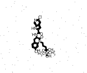 CC(C)(CCCN1C(=O)C(NC(=O)c2cc3cc(Cl)ncc3[nH]2)Cc2ccc(Cl)cc21)[Si](C)(C)O